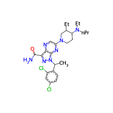 CCCN(CC)C1CCN(c2cnc3c(C(N)=O)nn(C(C)c4ccc(Cl)cc4Cl)c3n2)CC1CC